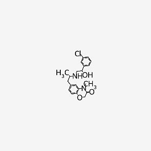 CC(Cc1ccc2c(c1)N(C)C(=O)CO2)NCC(O)c1cccc(Cl)c1